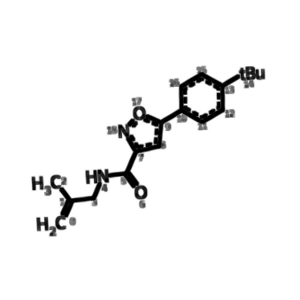 C=C(C)CNC(=O)c1cc(-c2ccc(C(C)(C)C)cc2)on1